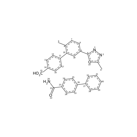 Cc1nnc(-c2ccc(C)c(-c3ccc(C(=O)O)cc3)c2)o1.NC(=O)c1ccc(-c2ccccc2)cc1